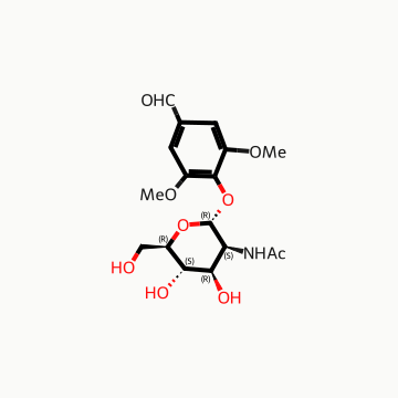 COc1cc(C=O)cc(OC)c1O[C@H]1O[C@H](CO)[C@@H](O)[C@H](O)[C@@H]1NC(C)=O